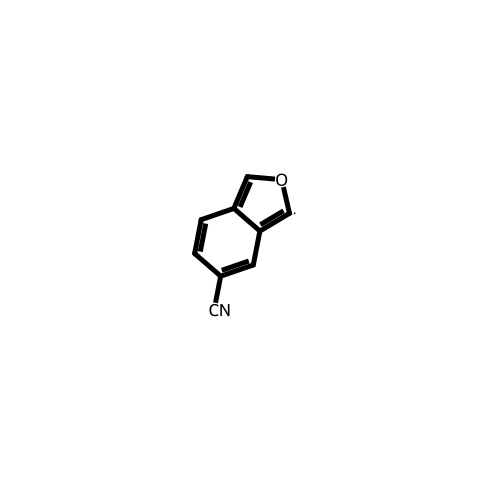 N#Cc1ccc2co[c]c2c1